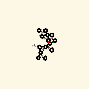 CC(C)(C)c1cc2c3cc4c5ccccc5n(-c5ccccc5)c4cc3n3c4cc5c(cc4c(c1)c23)c1ccc(-c2ccccc2N(c2ccccc2)c2cccc3c2c2cccc4c6c(N(c7ccccc7)c7ccccc7)cccc6n3c42)cc1n5-c1ccccc1